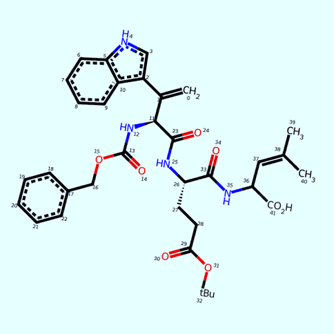 C=C(c1c[nH]c2ccccc12)[C@H](NC(=O)OCc1ccccc1)C(=O)N[C@@H](CCC(=O)OC(C)(C)C)C(=O)NC(C=C(C)C)C(=O)O